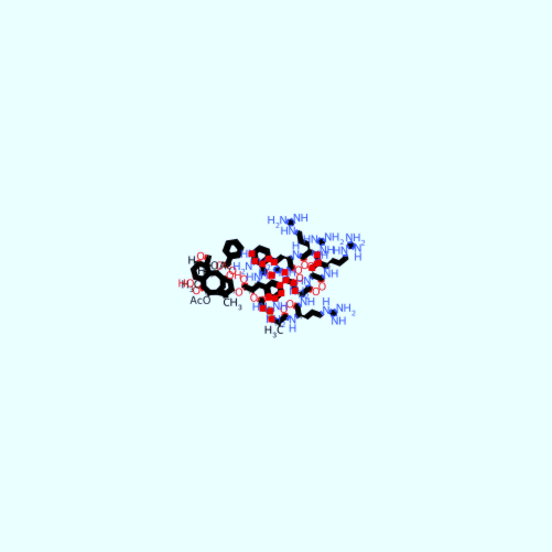 CC(=O)O[C@H]1C(=O)[C@@]2(C)[C@H]([C@H](OC(=O)c3ccccc3)[C@@]3(O)CC1=C(C)[C@@H](OC(=O)[C@H](OC(=O)CSC[C@H](C)C(=O)N[C@H](CCCNC(=N)N)C(=O)N[C@H](CCCNC(=N)N)C(=O)N[C@H](CCCNC(=N)N)C(=O)N[C@H](CCCNC(=N)N)C(=O)N[C@H](CCCNC(=N)N)C(=O)N[C@H](CCCNC(=N)N)C(=O)N[C@H](CCCNC(=N)N)C(N)=O)[C@@H](NC(=O)c1ccccc1)c1ccccc1)C3)[C@]1(OC(C)=O)CO[C@@H]1C[C@@H]2O